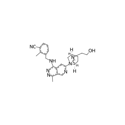 Cc1c(C#N)cccc1CNc1nnc(C)c2cnc(N3C[C@H]4CC[C@@H]3CN4CCO)cc12